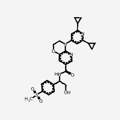 CS(=O)(=O)c1ccc(C(CO)NC(=O)c2cnc3c(c2)OCCN3c2cc(C3CC3)nc(C3CC3)c2)cc1